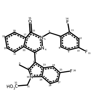 Cc1c(-c2nn(Cc3ccc(F)cc3F)c(=O)c3ccccc23)c2cc(F)ccc2n1CC(=O)O